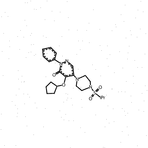 CC(C)S(=O)(=O)N1CCN(c2cnn(-c3ccccc3)c(=O)c2OC2CCCC2)CC1